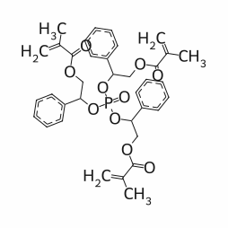 C=C(C)C(=O)OCC(OP(=O)(OC(COC(=O)C(=C)C)c1ccccc1)OC(COC(=O)C(=C)C)c1ccccc1)c1ccccc1